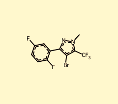 Cn1nc(-c2cc(F)ccc2F)c(Br)c1C(F)(F)F